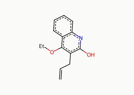 C=CCc1c(O)nc2ccccc2c1OCC